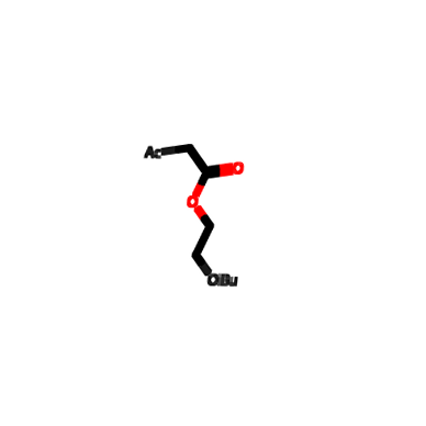 CC(=O)CC(=O)OCCOCC(C)C